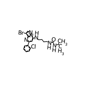 CC(C)NC(=O)NCCCCNc1cc(-c2ccccc2Cl)nc2c(Br)cnn12